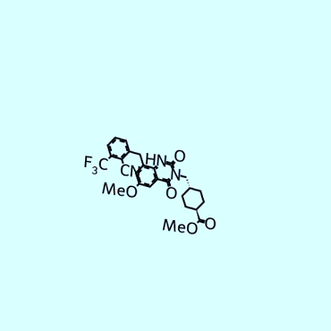 COc1cc(Cc2cccc(C(F)(F)F)c2C#N)c2[nH]c(=O)n(C[C@H]3CC[C@H](C(=O)OC)CC3)c(=O)c2c1